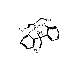 CCC(C)(c1ccccc1C)c1ccccc1C.CCNCC